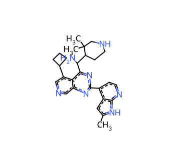 Cc1cc2c(-c3nc(C(N)C4CCNCC4(C)C)c4c(C5CCC5)cncc4n3)ccnc2[nH]1